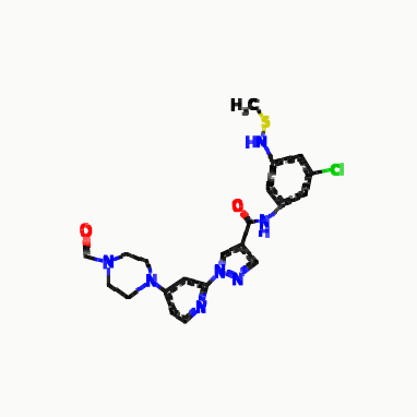 CSNc1cc(Cl)cc(NC(=O)c2cnn(-c3cc(N4CCN(C=O)CC4)ccn3)c2)c1